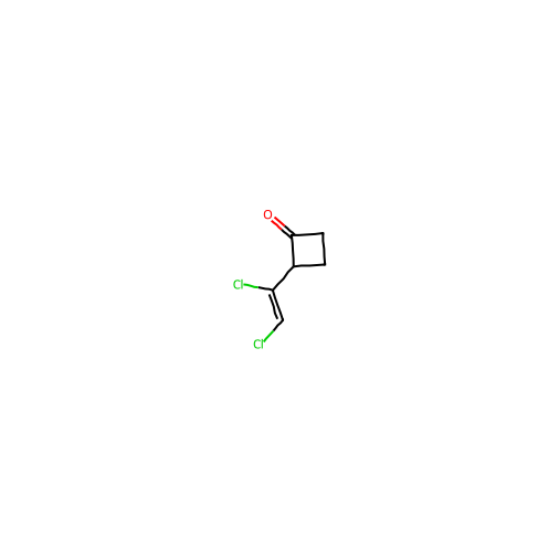 O=C1CCC1/C(Cl)=C/Cl